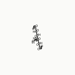 CCOCCC(=O)NC(CC(=O)NCCNC(=O)CCN1C(=O)C=CC1=O)C(=O)NCCNC(=O)CCN1C(=O)C=CC1=O